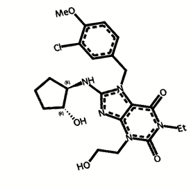 CCn1c(=O)c2c(nc(N[C@@H]3CCC[C@H]3O)n2Cc2ccc(OC)c(Cl)c2)n(CCO)c1=O